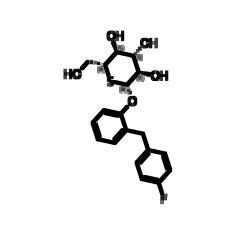 OC[C@H]1S[C@@H](Oc2ccccc2Cc2ccc(F)cc2)[C@H](O)[C@@H](O)[C@@H]1O